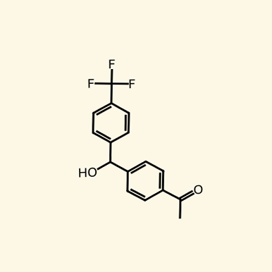 CC(=O)c1ccc(C(O)c2ccc(C(F)(F)F)cc2)cc1